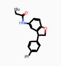 CC(C)c1ccc(C2COc3ccc(NC(=O)CC(C)(C)C)cc32)cc1